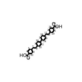 O=C(O)c1ccc(C=Cc2ccc(-c3ccc(C=Cc4ccc(C(=O)O)cc4)cc3)cc2)cc1